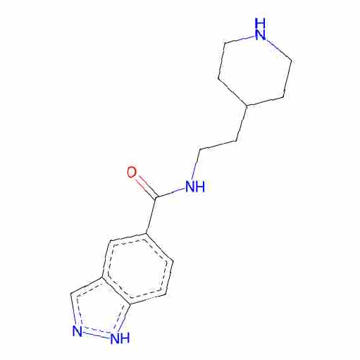 O=C(NCCC1CCNCC1)c1ccc2[nH]ncc2c1